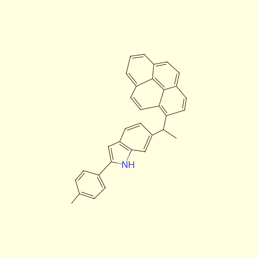 Cc1ccc(-c2cc3ccc(C(C)c4ccc5ccc6cccc7ccc4c5c67)cc3[nH]2)cc1